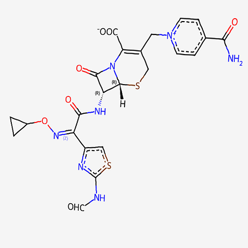 NC(=O)c1cc[n+](CC2=C(C(=O)[O-])N3C(=O)[C@@H](NC(=O)/C(=N\OC4CC4)c4csc(NC=O)n4)[C@H]3SC2)cc1